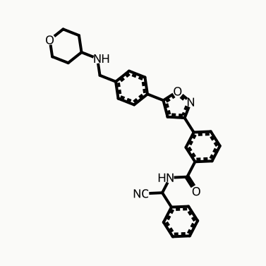 N#CC(NC(=O)c1cccc(-c2cc(-c3ccc(CNC4CCOCC4)cc3)on2)c1)c1ccccc1